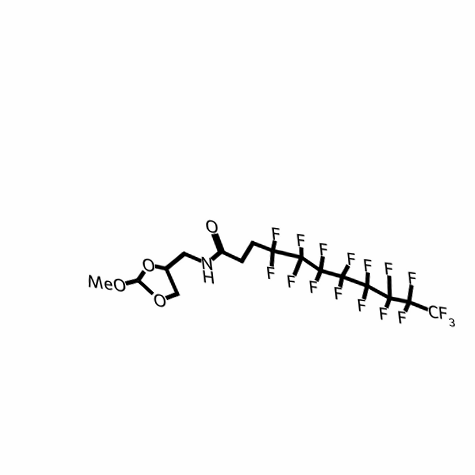 COC1OCC(CNC(=O)CCC(F)(F)C(F)(F)C(F)(F)C(F)(F)C(F)(F)C(F)(F)C(F)(F)C(F)(F)F)O1